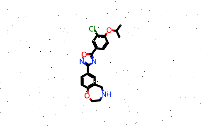 CC(C)Oc1ccc(-c2nc(-c3ccc4c(c3)CNCCO4)no2)cc1Cl